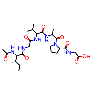 CC[C@H](C)[C@H](NC(C)=O)C(=O)NCC(=O)NC(C(=O)N[C@@H](C)C(=O)N1CCC[C@H]1C(=O)NCC(=O)O)C(C)C